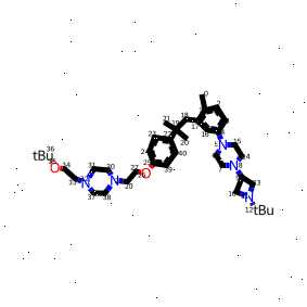 Cc1ccc(N2CCN(C3CN(C(C)(C)C)C3)CC2)cc1CC(C)(C)c1ccc(OCCN2CCN(CCOC(C)(C)C)CC2)cc1